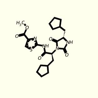 COC(=O)c1csc(NC(=O)[C@H](CC2CCCC2)N2C(=O)N[C@@H](CC3CCCC3)C2=O)n1